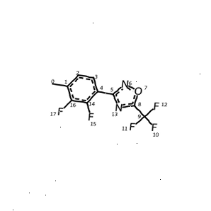 Cc1ccc(-c2noc(C(F)(F)F)n2)c(F)c1F